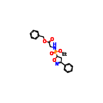 CCOP(=O)(NCC(=O)OCc1ccccc1)C1CC(c2ccccc2)=NO1